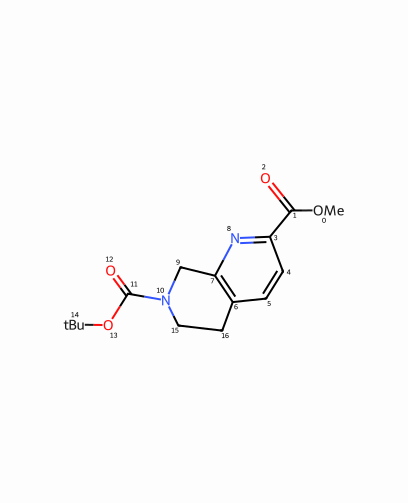 COC(=O)c1ccc2c(n1)CN(C(=O)OC(C)(C)C)CC2